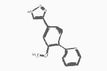 COc1cc(-c2c[nH]nn2)ccc1-c1ccccn1